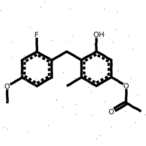 COc1ccc(Cc2c(C)cc(OC(C)=O)cc2O)c(F)c1